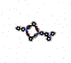 c1ccc(-c2ccc(N3c4ccc(cc4)-c4ccccc4-c4ccc(cc4)N(c4ccc(-c5ccc6c(c5)c5ccccc5n6-c5ccccc5)cc4)c4ccc(cc4)-c4ccccc4-c4ccc3cc4)cc2)cc1